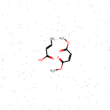 C/C=C/C(=O)O.COC(=O)/C=C\C(=O)OC